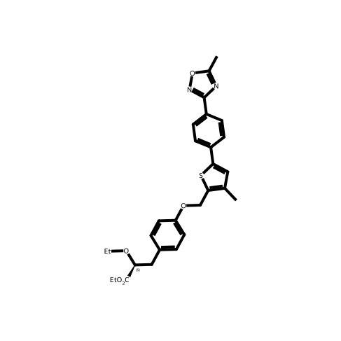 CCOC(=O)[C@H](Cc1ccc(OCc2sc(-c3ccc(-c4noc(C)n4)cc3)cc2C)cc1)OCC